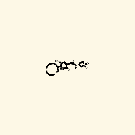 O=c1[nH]c(C2CCCCCCCCCC2)c(O)cc1C1OC1N[C@@H]1C=CS(=O)(=O)C1